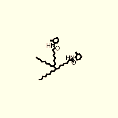 C=C1CCCC[C@@H]1NC(=O)CCCCCCC(CCCCCCCC)C(CCCCCCCC)CCCCCCC(=O)N[C@@H]1CCCCC1=C